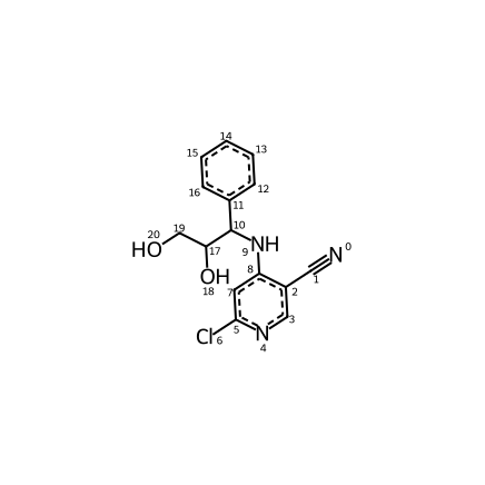 N#Cc1cnc(Cl)cc1NC(c1ccccc1)C(O)CO